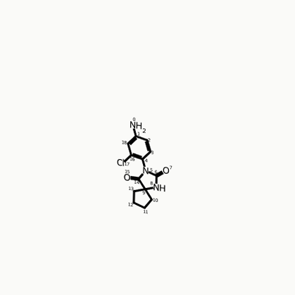 Nc1ccc(N2C(=O)NC3(CCCC3)C2=O)c(Cl)c1